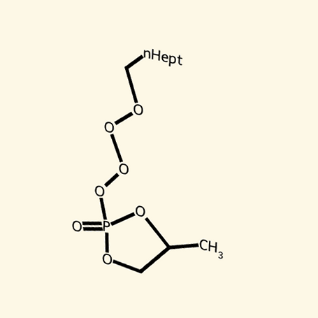 CCCCCCCCOOOOP1(=O)OCC(C)O1